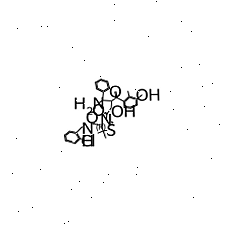 Cc1c(O)cccc1C(=O)C(C(O)C(=O)N1CSC(C)(C)[C@H]1C(=O)NCc1ccccc1Cl)C(N)c1ccccc1